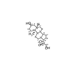 C[C@]12CCC3C(CC[C@H]4C[C@H](O)CC[C@]34C)C1CC[C@@H]2C(=O)CO